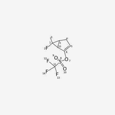 CC1(F)C2CC=C(OS(=O)(=O)C(F)(F)F)C21